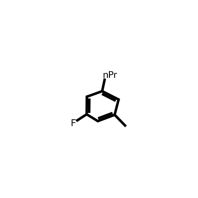 CCCc1cc(C)cc(F)c1